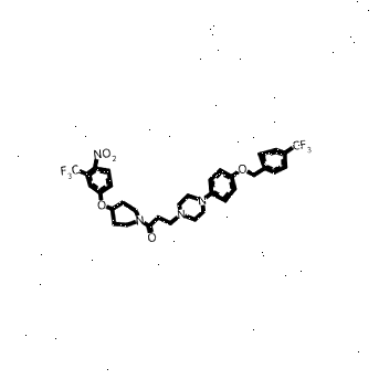 O=C(CCN1CCN(c2ccc(OCc3ccc(C(F)(F)F)cc3)cc2)CC1)N1CCC(Oc2ccc([N+](=O)[O-])c(C(F)(F)F)c2)CC1